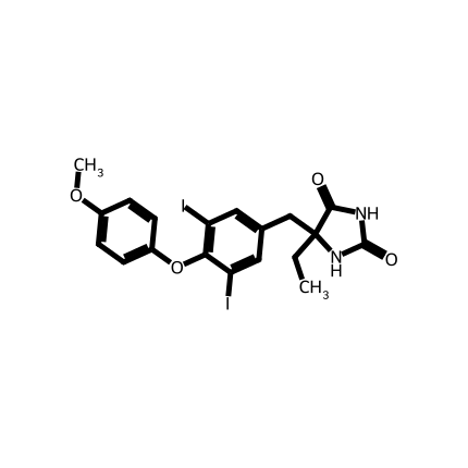 CCC1(Cc2cc(I)c(Oc3ccc(OC)cc3)c(I)c2)NC(=O)NC1=O